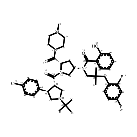 CN1CCN(C(=O)[C@@H]2C[C@H](N(CC(C)(C)Cc3ccc(F)cc3F)C(=O)c3ccccc3O)CN2C(=O)[C@@H]2CN(C(C)(C)C)C[C@H]2c2ccc(Cl)cc2)CC1